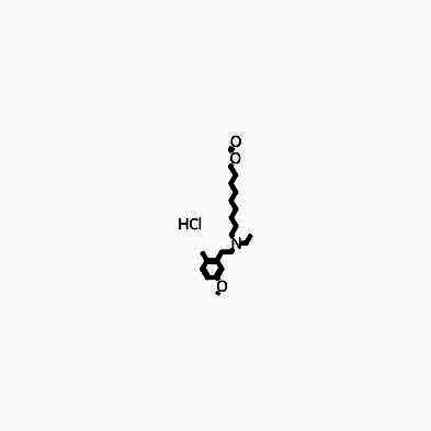 CCN(CCCCCCCCCOC=O)CCc1cc(OC)ccc1C.Cl